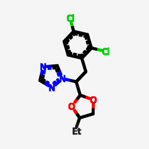 CCC1COC(C(Cc2ccc(Cl)cc2Cl)n2cncn2)O1